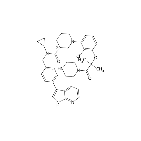 CC(C)(Oc1cccc(N2CCC[C@@H](C(=O)N(Cc3ccc(-c4c[nH]c5ncccc45)cc3)C3CC3)C2)c1Cl)C(=O)N1CCNCC1